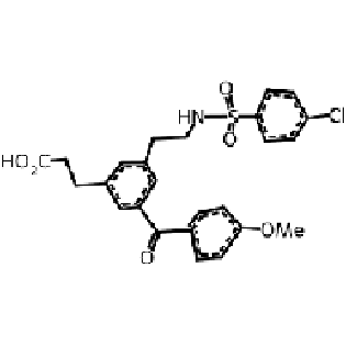 COc1ccc(C(=O)c2cc(CCNS(=O)(=O)c3ccc(Cl)cc3)cc(CCC(=O)O)c2)cc1